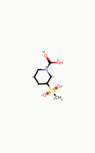 CS(=O)(=O)C1CCCN(C(=O)O)C1